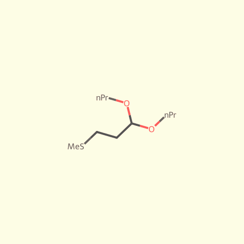 CCCOC(CCSC)OCCC